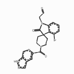 O=CCN1C(=O)C2(CCN(C(=O)c3cc4cn[nH]c4cn3)CC2)c2c(Br)cccc21